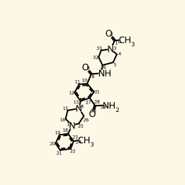 CC(=O)N1CCC(NC(=O)c2ccc(N3CCN(c4ccccc4C)CC3)c(C(N)=O)c2)CC1